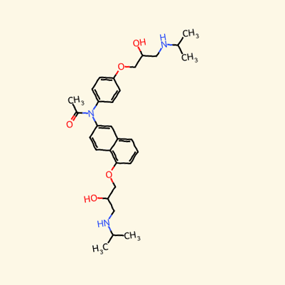 CC(=O)N(c1ccc(OCC(O)CNC(C)C)cc1)c1ccc2c(OCC(O)CNC(C)C)cccc2c1